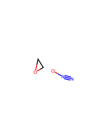 C1CO1.N#[N+][O-]